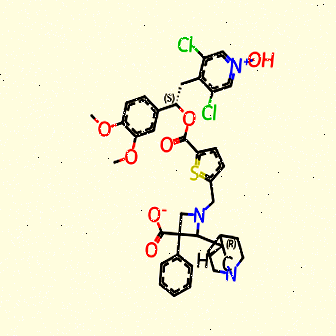 COc1ccc([C@H](Cc2c(Cl)c[n+](O)cc2Cl)OC(=O)c2ccc(CN3CC(C(=O)[O-])(c4ccccc4)C3[C@H]3CN4CCC3CC4)s2)cc1OC